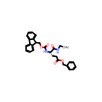 CC(=O)OCNC(=O)[C@H](CCC(=O)OCc1ccccc1)NC(=O)OCC1c2ccccc2-c2ccccc21